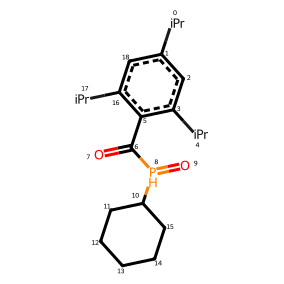 CC(C)c1cc(C(C)C)c(C(=O)[PH](=O)C2CCCCC2)c(C(C)C)c1